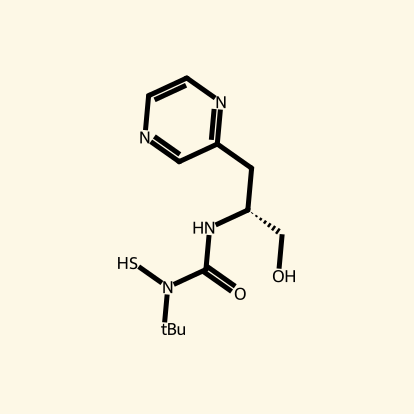 CC(C)(C)N(S)C(=O)N[C@@H](CO)Cc1cnccn1